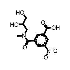 CN(CC(O)CO)C(=O)c1cc(C(=O)O)cc([N+](=O)[O-])c1